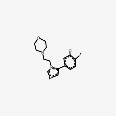 Fc1ccc(-c2cncn2CCN2CCOCC2)cc1Cl